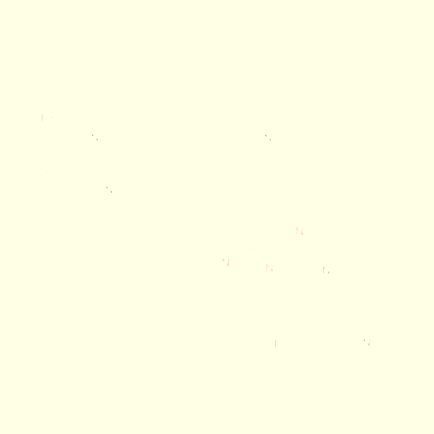 COCCN(C(=O)O)c1cc(Oc2cnc3nc(Nc4cc(C(F)(F)F)cn(C)c4=O)n(C)c3c2C#N)ccn1